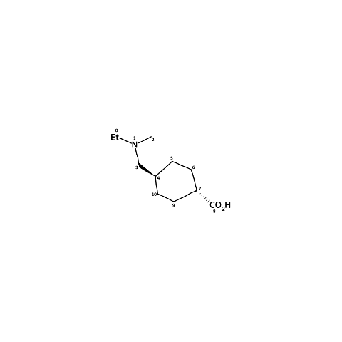 CCN(C)C[C@H]1CC[C@H](C(=O)O)CC1